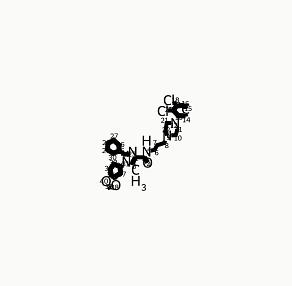 Cc1c(C(=O)NCCCN2CCN(c3cccc(Cl)c3Cl)CC2)nc(-c2ccccc2)n1-c1ccc2c(c1)OCO2